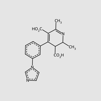 CC1=NC(C)C(C(=O)O)C(c2cccc(-n3ccnc3)c2)=C1C(=O)O